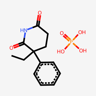 CCC1(c2ccccc2)CCC(=O)NC1=O.O=P(O)(O)O